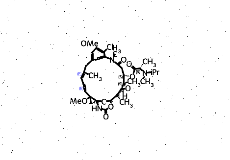 COc1cc2cc(c1Cl)N(C)C(=O)C[C@H](OC(=O)[C@H](C)N(C)C(C)C)[C@]1(C)O[C@H]1[C@H](C)C1C[C@@]3(CC3(OC)/C=C/C=C(\C)C2)NC(=O)O1